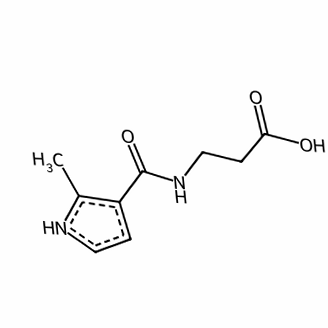 Cc1[nH]ccc1C(=O)NCCC(=O)O